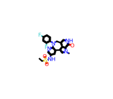 CCS(=O)(=O)Nc1cnc2c(c1)-c1cn(C)c3c(=O)[nH]cc(c13)CN2c1ccc(F)cc1F